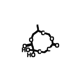 CC1CCOC(=O)CCCC(O)(O)C(=O)OC1